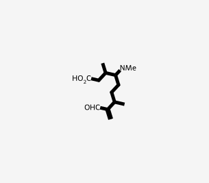 C=C(C=O)C(C)CCC(NC)C(C)CC(=O)O